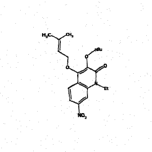 CCCCOc1c(OCC=C(C)C)c2ccc([N+](=O)[O-])cc2n(CC)c1=O